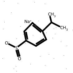 CC(C)c1ccc(S(=O)[O-])cc1.[Na+]